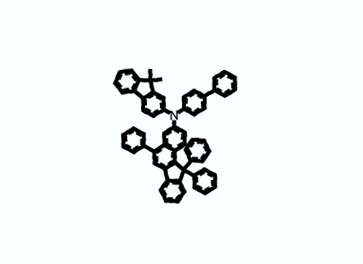 CC1(C)c2ccccc2-c2ccc(N(c3ccc(-c4ccccc4)cc3)c3ccc4c5c(cc(-c6ccccc6)c4c3)-c3ccccc3C5(c3ccccc3)c3ccccc3)cc21